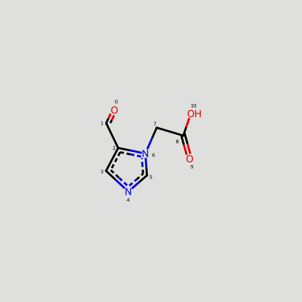 O=Cc1cncn1CC(=O)O